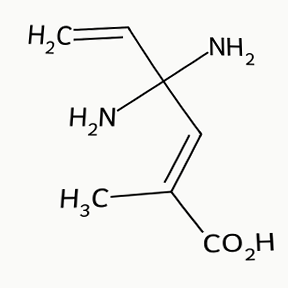 C=CC(N)(N)/C=C(\C)C(=O)O